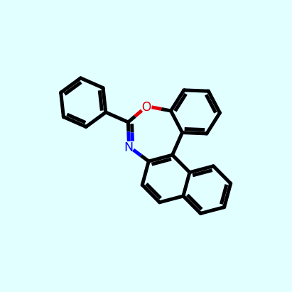 c1ccc(C2=Nc3ccc4ccccc4c3-c3ccccc3O2)cc1